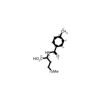 CSCCC(NC(=O)c1ccc(C)cc1)C(=O)O